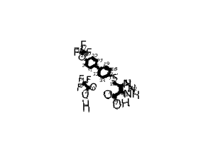 O=C(O)C(F)(F)F.O=C(O)c1[nH]nnc1CSc1ccc(-c2ccc(OC(F)(F)F)cc2)cc1